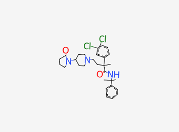 CC(C)(NC(=O)C(C)(CCN1CCC(N2CCCC2=O)CC1)c1ccc(Cl)c(Cl)c1)c1ccccc1